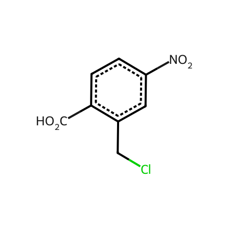 O=C(O)c1ccc([N+](=O)[O-])cc1CCl